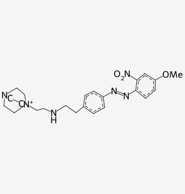 COc1ccc(N=Nc2ccc(CCNCC[N+]34CCN(CC3)CC4)cc2)c([N+](=O)[O-])c1